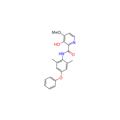 COc1ccnc(C(=O)Nc2c(C)cc(Oc3ccccc3)cc2C)c1O